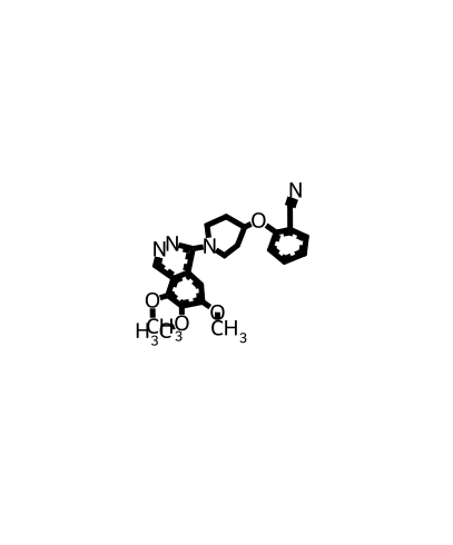 COc1cc2c(N3CCC(Oc4ccccc4C#N)CC3)nncc2c(OC)c1OC